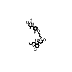 CCc1ccc2c(n1)=C(OC)CCC=2C1(C)C=CC(=O)N(CCCCOc2ccc(C3=NNC(=O)CC3C)cc2F)N1